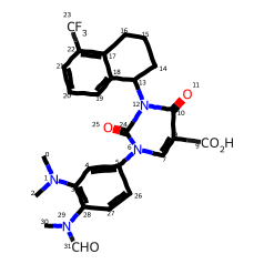 CN(C)c1cc(-n2cc(C(=O)O)c(=O)n(C3CCCc4c3cccc4C(F)(F)F)c2=O)ccc1N(C)C=O